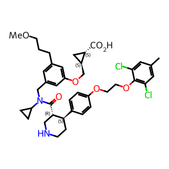 COCCCc1cc(CN(C(=O)[C@H]2CNCC[C@@H]2c2ccc(OCCOc3c(Cl)cc(C)cc3Cl)cc2)C2CC2)cc(OC[C@H]2C[C@@H]2C(=O)O)c1